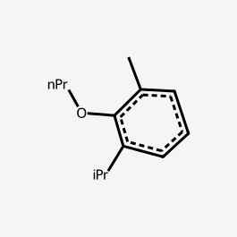 CCCOc1c(C)cccc1C(C)C